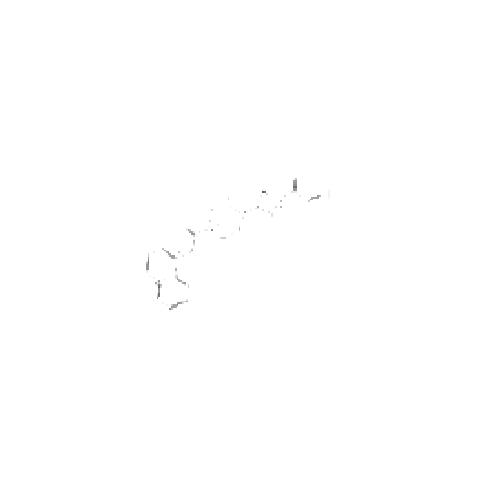 C=CC(=O)N1CC(N2CCN(C(=O)Cc3cccc4ccccc34)CC2)C1